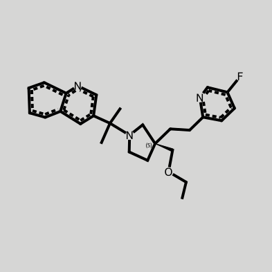 CCOC[C@@]1(CCc2ccc(F)cn2)CCN(C(C)(C)c2cnc3ccccc3c2)C1